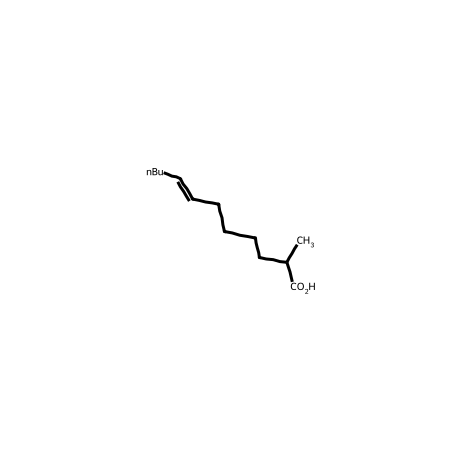 CCCCC=CCCCCC(C)C(=O)O